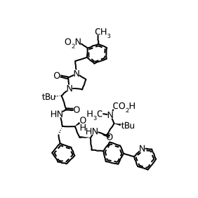 Cc1cccc(CN2CCN([C@H](C(=O)N[C@@H](Cc3ccccc3)[C@@H](O)C[C@H](Cc3ccc(-c4ccccn4)cc3)NC(=O)[C@@H](N(C)C(=O)O)C(C)(C)C)C(C)(C)C)C2=O)c1[N+](=O)[O-]